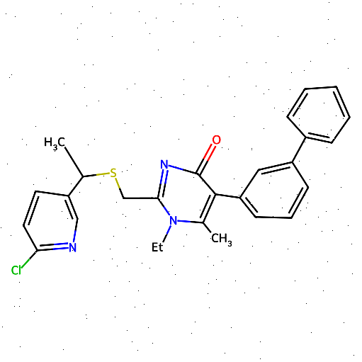 CCn1c(CSC(C)c2ccc(Cl)nc2)nc(=O)c(-c2cccc(-c3ccccc3)c2)c1C